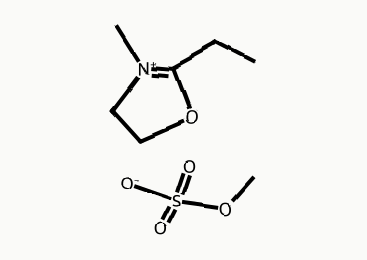 CCC1=[N+](C)CCO1.COS(=O)(=O)[O-]